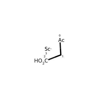 CC(=O)CC(=O)O.[Sc]